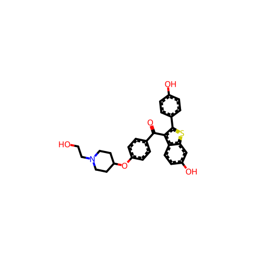 O=C(c1ccc(OC2CCN(CCO)CC2)cc1)c1c(-c2ccc(O)cc2)sc2cc(O)ccc12